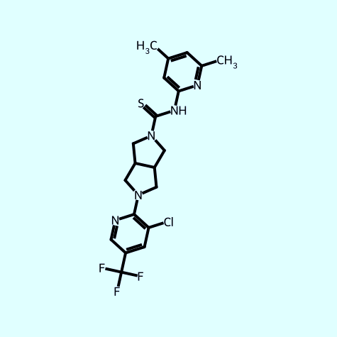 Cc1cc(C)nc(NC(=S)N2CC3CN(c4ncc(C(F)(F)F)cc4Cl)CC3C2)c1